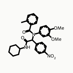 COc1ccc(N(C(=O)c2ccccc2C)C(C(=O)NC2CCCCC2)c2ccc([N+](=O)[O-])cc2)cc1OC